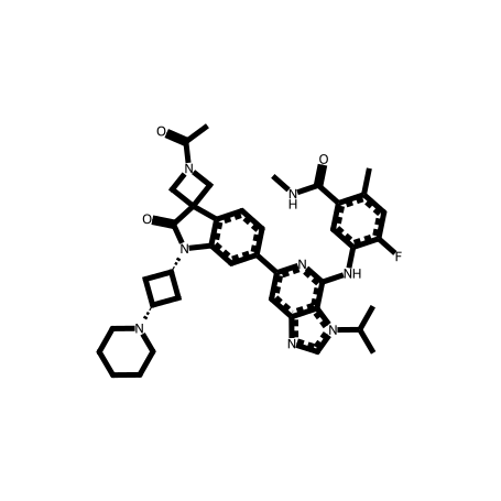 CNC(=O)c1cc(Nc2nc(-c3ccc4c(c3)N([C@H]3C[C@@H](N5CCCCC5)C3)C(=O)C43CN(C(C)=O)C3)cc3ncn(C(C)C)c23)c(F)cc1C